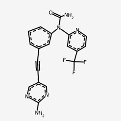 NC(=O)N(c1cccc(C#Cc2cnc(N)nc2)c1)c1cc(C(F)(F)F)ccn1